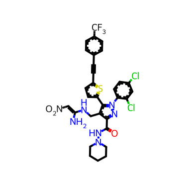 NC(=C[N+](=O)[O-])NCc1c(C(=O)NN2CCCCC2)nn(-c2ccc(Cl)cc2Cl)c1-c1ccc(C#Cc2ccc(C(F)(F)F)cc2)s1